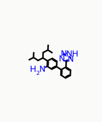 CC(C)CC(CC(C)C)c1ccc(-c2ccccc2-c2nn[nH]n2)cc1N